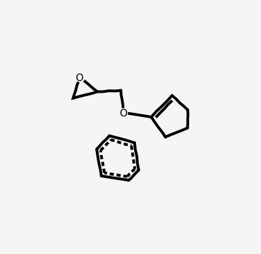 C1=C(OCC2CO2)CCC1.c1ccccc1